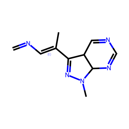 C=N/C=C(\C)C1=NN(C)C2N=CN=CC12